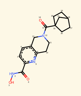 O=C(NO)c1ccc2c(n1)CCN(C(=O)C13CCC(CC1)C3)C2